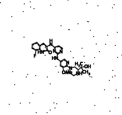 COc1cc(Nc2nccc(Nc3cc4cccc(F)c4[nH]c3=O)n2)cnc1N1CCNC(C(C)(C)O)C1